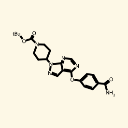 CC(C)(C)OC(=O)N1CCC(n2ncc3c(Oc4ccc(C(N)=O)cc4)ncnc32)CC1